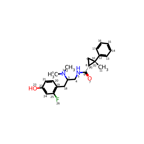 CN(C)C(CNC(=O)[C@@H]1C[C@]1(C)c1ccccc1)Cc1ccc(O)cc1F